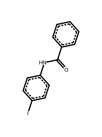 O=C(Nc1ccc(I)cc1)c1ccccc1